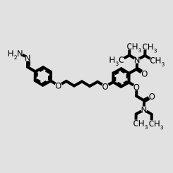 CCN(CC)C(=O)COc1cc(OCCCCCOc2ccc(C=NN)cc2)ccc1C(=O)N(C(C)C)C(C)C